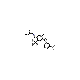 CCN(C)/C=N/c1cc(C)c(Oc2cccc(C(C)C)c2)cc1C(F)(F)F